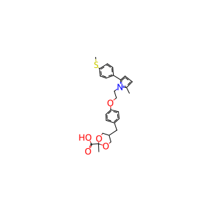 CSc1ccc(-c2ccc(C)n2CCOc2ccc(CC3COC(C)(C(=O)O)OC3)cc2)cc1